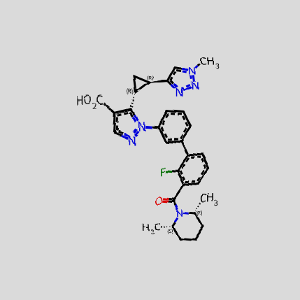 C[C@@H]1CCC[C@H](C)N1C(=O)c1cccc(-c2cccc(-n3ncc(C(=O)O)c3[C@@H]3C[C@H]3c3cn(C)nn3)c2)c1F